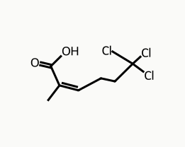 CC(=CCCC(Cl)(Cl)Cl)C(=O)O